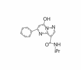 CC(C)NC(=O)c1cnn2c(O)cc(-c3ccccc3)nc12